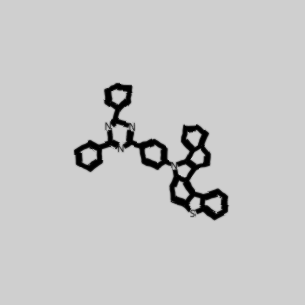 c1ccc(-c2nc(-c3ccccc3)nc(-c3ccc(-n4c5ccc6sc7ccccc7c6c5c5ccc6ccccc6c54)cc3)n2)cc1